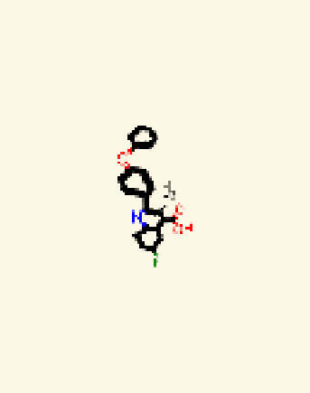 Cc1c(-c2ccc(Oc3ccccc3)cc2)nc2ccc(F)cc2c1C(=O)O